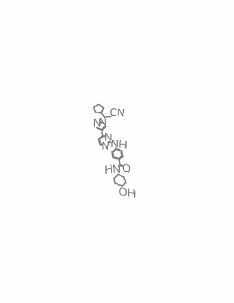 N#CCC(C1CCCC1)n1cc(-c2ccnc(Nc3ccc(C(=O)N[C@H]4CC[C@@H](O)CC4)cc3)n2)cn1